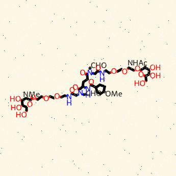 CNC1C(OCCOCCOCCNC(=O)CN(CC=O)C(=O)C(CCC(=O)N(CC=O)CC(=O)NCCOCCOCCOC2OC(CO)C(O)C(O)C2NC(C)=O)NC(=O)C2CCC(OC)CC2)OC(CO)C(O)C1O